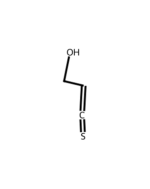 OCC=C=S